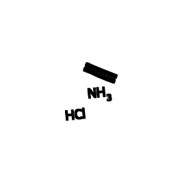 C=C.Cl.N